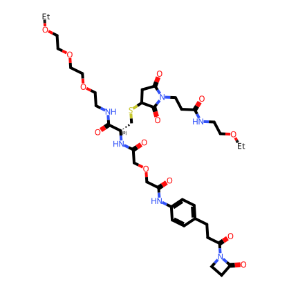 CCOCCNC(=O)CCN1C(=O)CC(SC[C@H](NC(=O)COCC(=O)Nc2ccc(CCC(=O)N3CCC3=O)cc2)C(=O)NCCOCCOCCOCC)C1=O